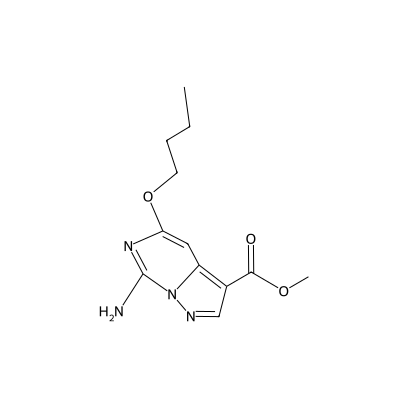 CCCCOc1cc2c(C(=O)OC)cnn2c(N)n1